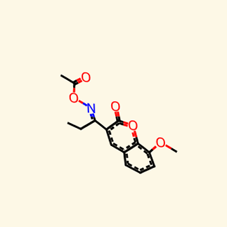 CC/C(=N\OC(C)=O)c1cc2cccc(OC)c2oc1=O